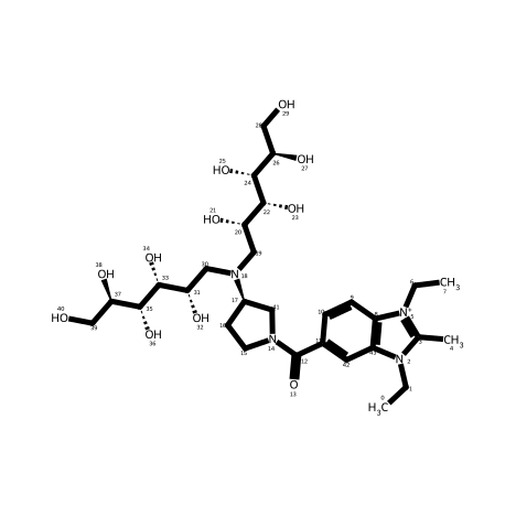 CCn1c(C)[n+](CC)c2ccc(C(=O)N3CC[C@@H](N(C[C@H](O)[C@@H](O)[C@H](O)[C@H](O)CO)C[C@H](O)[C@@H](O)[C@H](O)[C@H](O)CO)C3)cc21